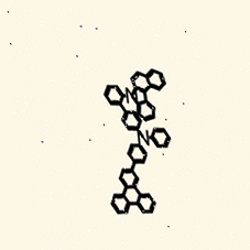 c1ccc(N(c2ccc(-c3ccc4c5ccccc5c5ccccc5c4c3)cc2)c2ccc(-c3ccccc3-n3c4ccccc4c4c5ccccc5ccc43)cc2)cc1